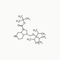 CC(C)[Si](OCC1CN(C(=O)OC(C)(C)C)C2CNCCC12)(C(C)C)C(C)C